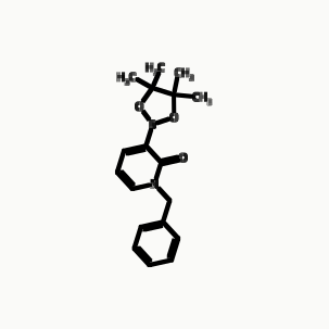 CC1(C)OB(c2cccn(Cc3ccccc3)c2=O)OC1(C)C